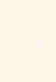 CCCc1cc(-n2cc(-c3ccc([N+](=O)[O-])c(C)n3)cn2)ccn1